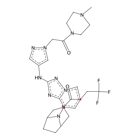 CN1CCN(C(=O)Cn2cc(Nc3nc4c(N5C6CCC5CN(C(=O)CCC(F)(F)F)C6)cccn4n3)cn2)CC1